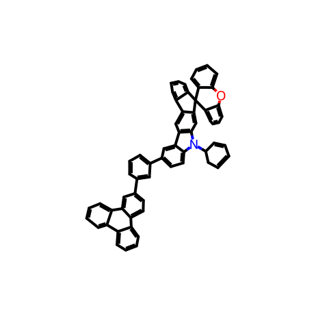 C1=CCC(n2c3ccc(-c4cccc(-c5ccc6c7ccccc7c7ccccc7c6c5)c4)cc3c3cc4c(cc32)C2(c3ccccc3Oc3ccccc32)c2ccccc2-4)C=C1